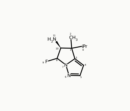 CC(C)C1(C)c2ccnn2C(F)[C@H]1N